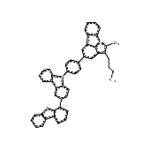 CCCCc1c(C)n2c3ccccc3c3cc(-c4ccc(-n5c6ccccc6c6cc(-c7cccc8c7sc7ccccc78)ccc65)cc4)cc1c32